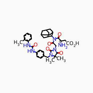 Cc1ccccc1NC(=O)Nc1ccc(CN2C(=O)N(CC(=O)N(C(=O)[C@@H](N)CC(=O)O)C3C4CC5CC(C4)CC3C5)C(=O)C2(C)C)cc1